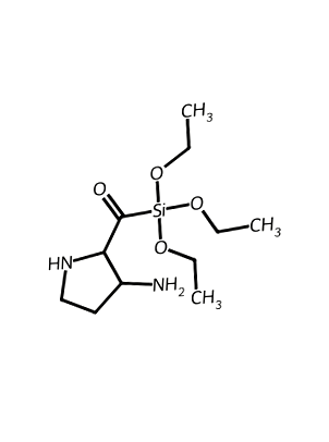 CCO[Si](OCC)(OCC)C(=O)C1NCCC1N